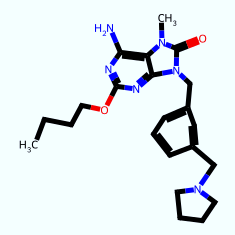 CCCCOc1nc(N)c2c(n1)n(Cc1cccc(CN3CCCC3)c1)c(=O)n2C